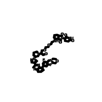 O=CC(COCCOCCNc1cccc2c1C(=O)N(C1CCC(=O)NC1=O)C2=O)N1CCCC(n2cc(-c3cnc4cccc(-c5cc(F)c(CN6CCOCC6)c(F)c5)c4n3)cn2)C1